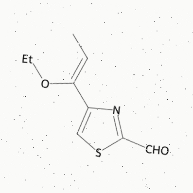 CC=C(OCC)c1csc(C=O)n1